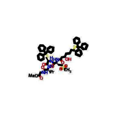 COC(=O)CNC(=O)[C@H](NC(=O)[C@@H](CSC(c1ccccc1)(c1ccccc1)c1ccccc1)NC(=O)[C@@H](CCS(C)(=O)=O)NC(=O)C[C@H](O)/C=C/CCSC(c1ccccc1)(c1ccccc1)c1ccccc1)C(C)C